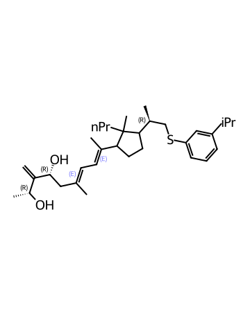 C=C([C@H](O)C/C(C)=C/C=C(\C)C1CCC([C@@H](C)CSc2cccc(C(C)C)c2)C1(C)CCC)[C@@H](C)O